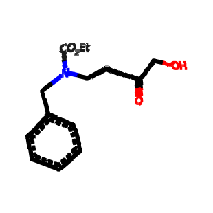 CCOC(=O)N(CCC(=O)CO)Cc1ccccc1